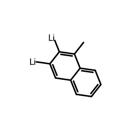 [Li][c]1cc2ccccc2c(C)[c]1[Li]